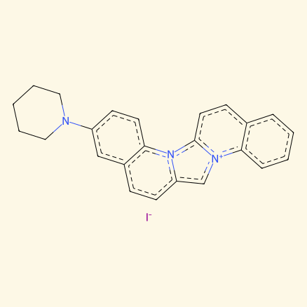 [I-].c1ccc2c(c1)ccc1n3c(ccc4cc(N5CCCCC5)ccc43)c[n+]21